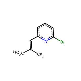 O=C(O)/C(=C/c1cccc(Br)n1)C(F)(F)F